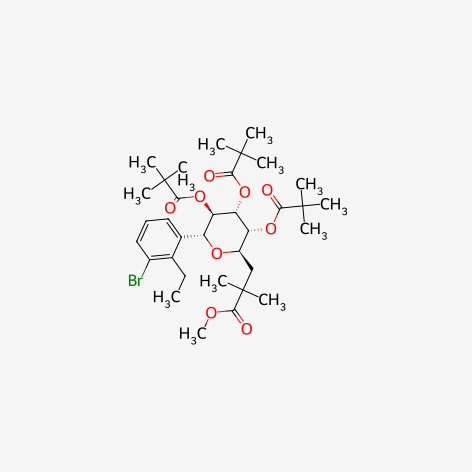 CCc1c(Br)cccc1[C@H]1O[C@H](CC(C)(C)C(=O)OC)[C@@H](OC(=O)C(C)(C)C)[C@@H](OC(=O)C(C)(C)C)[C@@H]1OC(=O)C(C)(C)C